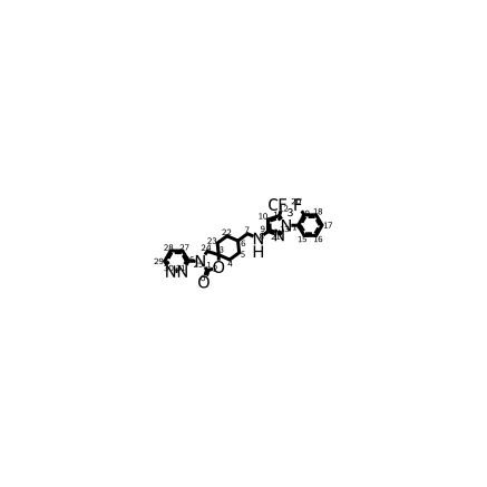 O=C1OC2(CCC(CNc3cc(C(F)(F)F)n(-c4ccccc4F)n3)CC2)CN1c1cccnn1